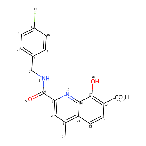 Cc1cc(C(=O)NCc2ccc(F)cc2)nc2c(O)c(C(=O)O)ccc12